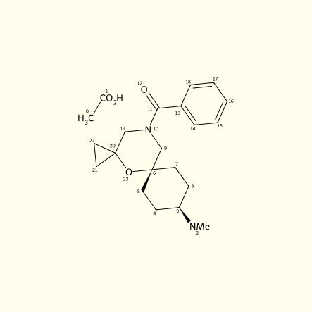 CC(=O)O.CN[C@H]1CC[C@]2(CC1)CN(C(=O)c1ccccc1)CC1(CC1)O2